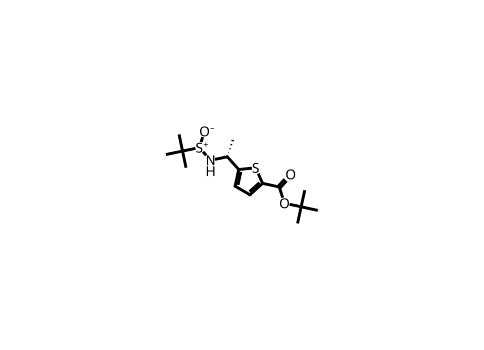 C[C@@H](N[S+]([O-])C(C)(C)C)c1ccc(C(=O)OC(C)(C)C)s1